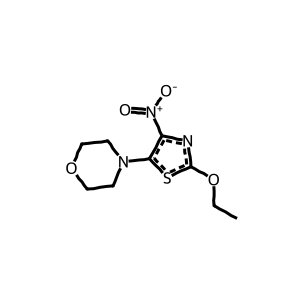 CCOc1nc([N+](=O)[O-])c(N2CCOCC2)s1